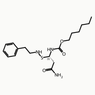 CCCCCCOC(=O)N[C@H](CC(N)=O)SNCCc1ccccc1